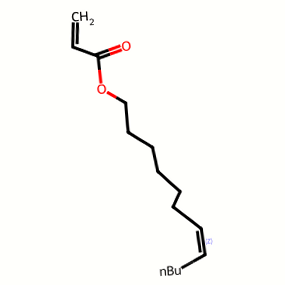 C=CC(=O)OCCCCCC/C=C\CCCC